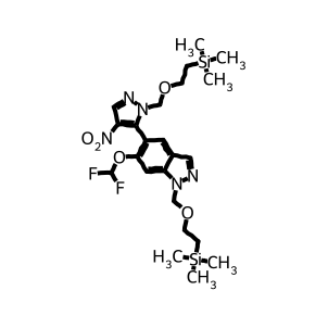 C[Si](C)(C)CCOCn1ncc([N+](=O)[O-])c1-c1cc2cnn(COCC[Si](C)(C)C)c2cc1OC(F)F